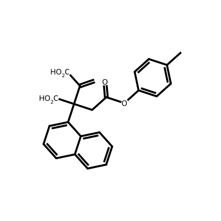 C=C(C(=O)O)C(CC(=O)Oc1ccc(C)cc1)(C(=O)O)c1cccc2ccccc12